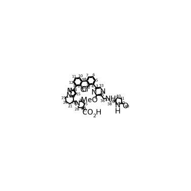 COc1nc(-c2cccc(-c3cccc(-c4cc5n(n4)CCCC5N4CC[C@@H](C(=O)O)C4)c3Cl)c2Cl)cnc1CNC[C@@H]1CCC(=O)N1